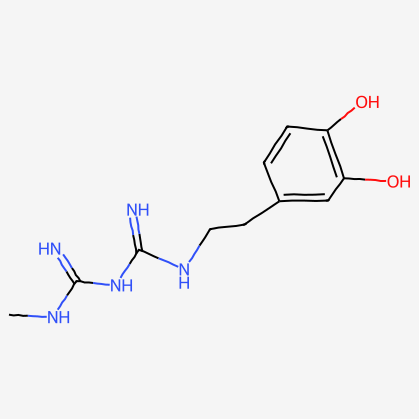 CNC(=N)NC(=N)NCCc1ccc(O)c(O)c1